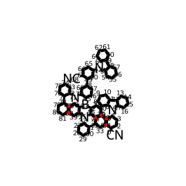 N#Cc1ccc(-n2c3ccccc3c3ccccc32)c(-c2ccc3c(c2)N(c2ccccc2-c2ccccc2)c2cccc4c2B3c2ccc(-c3cc(-n5c6ccccc6c6ccccc65)ccc3C#N)cc2N4c2ccccc2-c2ccccc2)c1